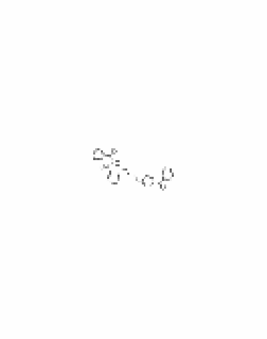 O=C(c1ccccc1)c1ccc(CCCCCOC(C(=O)c2ccccc2)C(=O)c2ccccc2)cc1